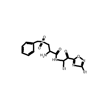 CCc1noc(C(=O)C(CC)NC(=O)C(N)CS(=O)(=O)Cc2ccccc2)n1